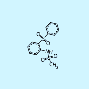 CS(=O)(=O)Nc1ccccc1S(=O)(=O)c1ccccc1